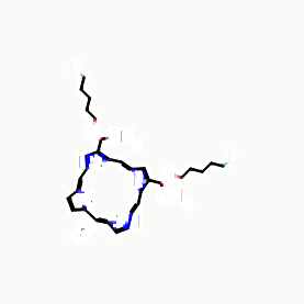 CC(OCCCCCF)C1=Cc2cc3[nH]c(cc4nc(cc5ccc(cc1n2)[nH]5)C=C4)cc3C(C)OCCCCCF.[K].[K]